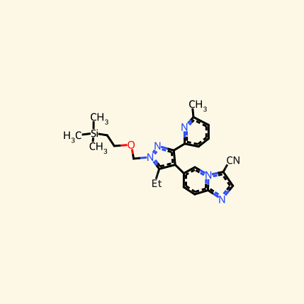 CCc1c(-c2ccc3ncc(C#N)n3c2)c(-c2cccc(C)n2)nn1COCC[Si](C)(C)C